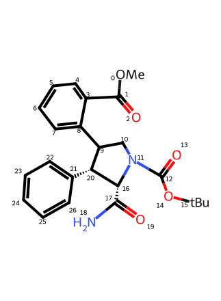 COC(=O)c1ccccc1C1CN(C(=O)OC(C)(C)C)[C@H](C(N)=O)[C@@H]1c1ccccc1